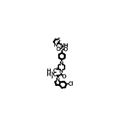 C[C@H]1CN(c2ccc(S(=O)(=O)Nc3nccs3)cc2)CCN1C(=O)[C@H](C)n1ccc2ccc(Cl)cc21